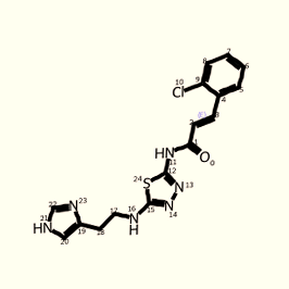 O=C(/C=C/c1ccccc1Cl)Nc1nnc(NCCc2c[nH]cn2)s1